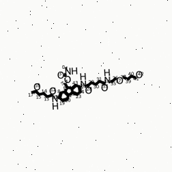 CNC(=O)OCC1c2cc(NC(=O)CCCC(C)=O)ccc2-c2ccc(NC(=O)CCCC(=O)NCCOCCCC=O)cc21